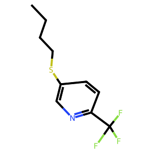 CCCCSc1ccc(C(F)(F)F)nc1